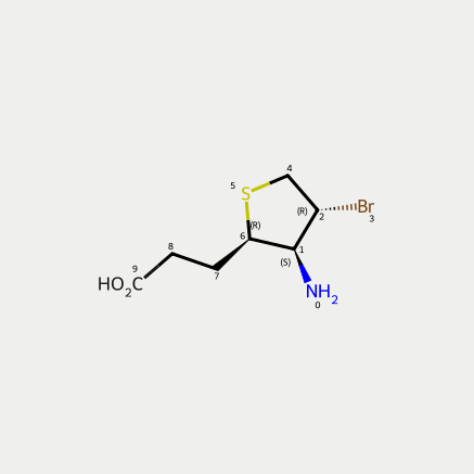 N[C@@H]1[C@@H](Br)CS[C@@H]1CCC(=O)O